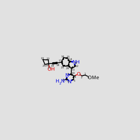 COCCOc1cnc(N)nc1-c1c[nH]c2ccc(C#CC3(O)CCC3)cc12